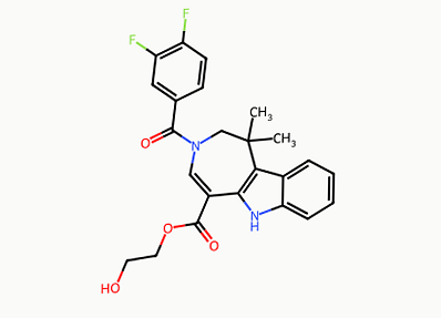 CC1(C)CN(C(=O)c2ccc(F)c(F)c2)C=C(C(=O)OCCO)c2[nH]c3ccccc3c21